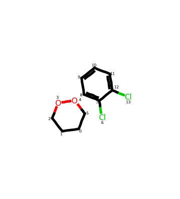 C1CCOOC1.Clc1ccccc1Cl